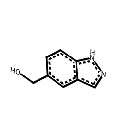 OCc1ccc2[nH]ncc2c1